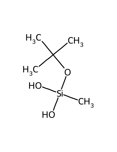 CC(C)(C)O[Si](C)(O)O